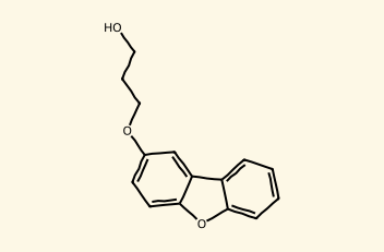 OCCCOc1ccc2oc3ccccc3c2c1